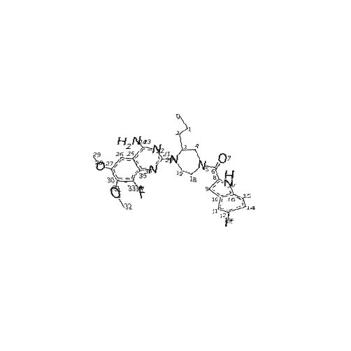 CCCC1CN(C(=O)c2cc3cc(F)ccc3[nH]2)CCN1c1nc(N)c2cc(OC)c(OC)c(F)c2n1